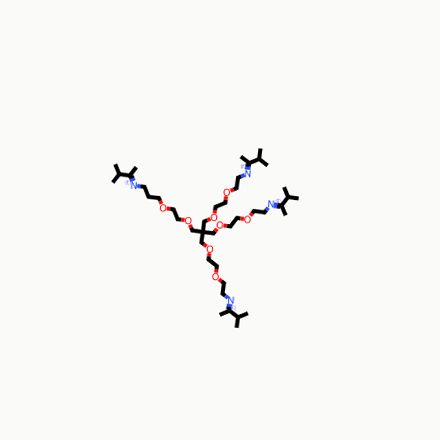 C/C(=N\CCCOCCOCC(COCCOCC/N=C(\C)C(C)C)(COCCOCC/N=C(\C)C(C)C)COCCOCC/N=C(\C)C(C)C)C(C)C